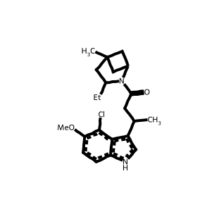 CCC1CC2(C)CC(C2)N1C(=O)CC(C)c1c[nH]c2ccc(OC)c(Cl)c12